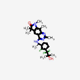 Cc1nc(N[C@H](C)c2cccc(C(F)(F)C(C)(C)O)c2F)c2cc3c(c(C)c2n1)N(C)C(=O)C3(C)C